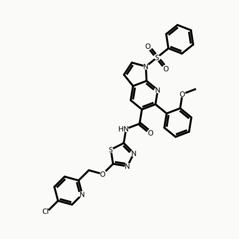 COc1ccccc1-c1nc2c(ccn2S(=O)(=O)c2ccccc2)cc1C(=O)Nc1nnc(OCc2ccc(Cl)cn2)s1